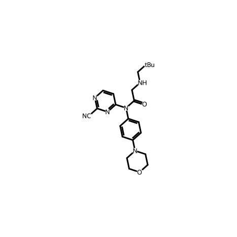 CC(C)(C)CNCC(=O)N(c1ccc(N2CCOCC2)cc1)c1ccnc(C#N)n1